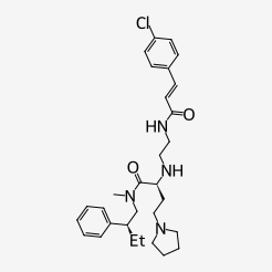 CC[C@H](CN(C)C(=O)[C@H](CCN1CCCC1)NCCNC(=O)/C=C/c1ccc(Cl)cc1)c1ccccc1